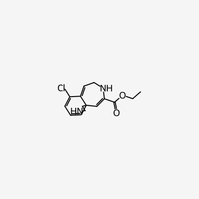 CCOC(=O)C1=CC23CCNC2=CC=C(Cl)C3=CCN1